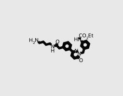 CCOC(=O)Nc1cccc(Cn2nc(-c3cccc(CC(=O)NCCCCN)c3)ccc2=O)c1